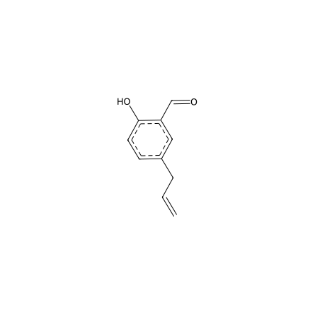 C=CCc1ccc(O)c(C=O)c1